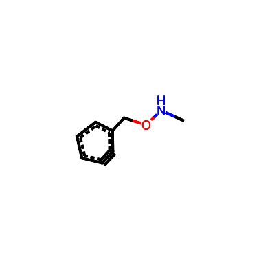 CNOCc1c#cccc1